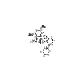 CCCCCC(CC)(Pc1ccccc1N1CCCCC1)c1cc(C(C)(C)C)cc(C(C)(C)C)c1O